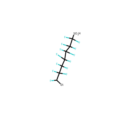 CCC(F)C(F)(F)C(F)(F)C(F)(F)C(F)(F)C(F)(F)C(F)(F)S(=O)(=O)O